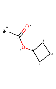 [CH2]C(C)C(=O)OC1CCC1